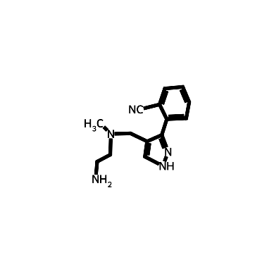 CN(CCN)Cc1c[nH]nc1-c1ccccc1C#N